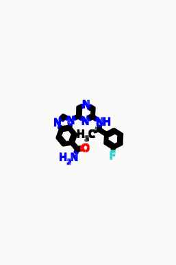 C[C@H](Nc1cncc(-n2cnc3ccc(C(N)=O)cc32)n1)c1cccc(F)c1